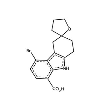 O=C(O)c1ccc(Br)c2c3c([nH]c12)CCC1(CCCO1)C3